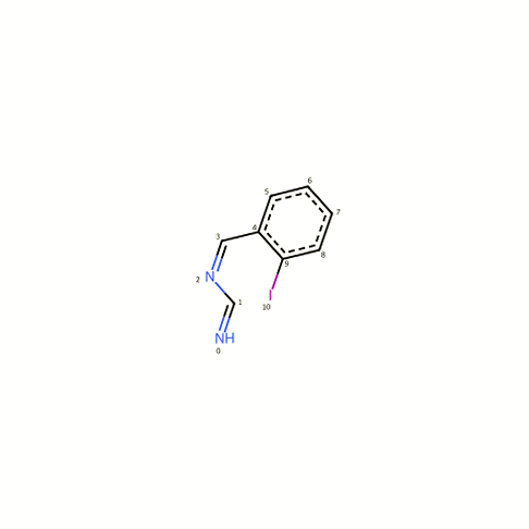 N=C/N=C\c1ccccc1I